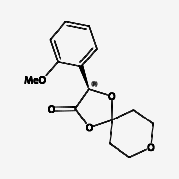 COc1ccccc1[C@H]1OC2(CCOCC2)OC1=O